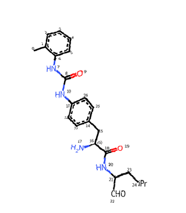 Cc1ccccc1NC(=O)Nc1ccc(C[C@H](N)C(=O)N[C](C=O)CC(C)C)cc1